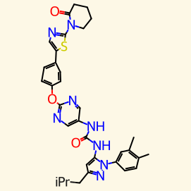 Cc1ccc(-n2nc(CC(C)C)cc2NC(=O)Nc2cnc(Oc3ccc(-c4cnc(N5CCCCC5=O)s4)cc3)nc2)cc1C